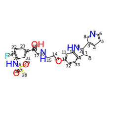 Cc1c(-c2cccnc2)[nH]c2cc(OCCNC[C@H](O)c3ccc(F)c(NS(C)(=O)=O)c3)ccc12